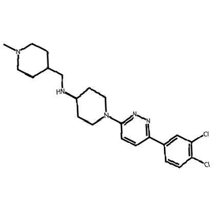 CN1CCC(CNC2CCN(c3ccc(-c4ccc(Cl)c(Cl)c4)nn3)CC2)CC1